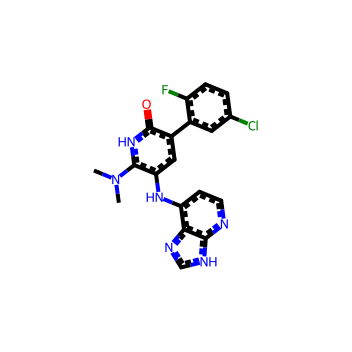 CN(C)c1[nH]c(=O)c(-c2cc(Cl)ccc2F)cc1Nc1ccnc2[nH]cnc12